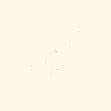 COC(=O)CC1CC(O)C(O)C(OC)O1